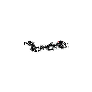 CC(=C/C=C/C(C)=C/[C@H](O[Si](C)(C)C(C)(C)C)[C@@H](C)C[C@@H](C)O[Si](C)(C)C(C)(C)C)C=C(C)/C=C/C(=O)O[C@H]1CCCC(=O)O[C@@H]([C@@H](C)C/C(C)=C/[C@@H](C)[C@@H](C[C@@H](C)O[Si](C)(C)C(C)(C)C)O[Si](C)(C)C(C)(C)C)C/C=C/C[C@@H]1C